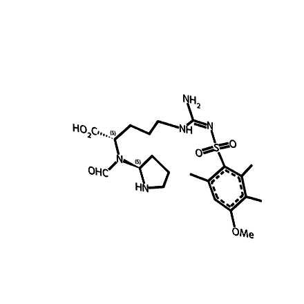 COc1cc(C)c(S(=O)(=O)N=C(N)NCCC[C@@H](C(=O)O)N(C=O)[C@H]2CCCN2)c(C)c1C